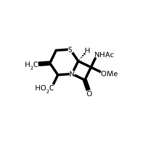 C=C1CS[C@@H]2N(C(=O)C2(NC(C)=O)OC)C1C(=O)O